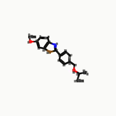 CCCCCCOc1ccc2nc(-c3ccc(COC(CCCCCC)C(F)(F)F)cc3)sc2c1